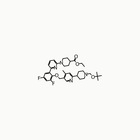 CCOC(=O)C1CCN(c2cccc(-c3cc(F)cc(F)c3OCc3cnc(C4CCN(COC(C)(C)C)CC4)cc3C)n2)CC1